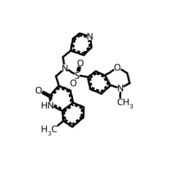 Cc1cccc2cc(CN(Cc3ccncc3)S(=O)(=O)c3ccc4c(c3)OCCN4C)c(=O)[nH]c12